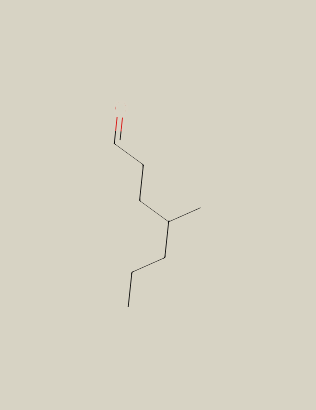 CCCC(C)CCC=O